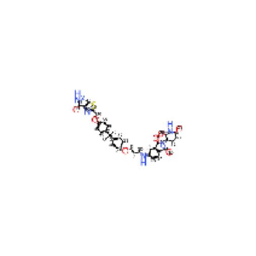 CC(C)(c1ccc(OCCCNc2ccc3c(c2)C(=O)N(C2CCC(=O)NC2=O)C3=O)cc1)c1ccc(OCc2nc(C(N)=O)cs2)cc1